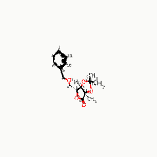 CC1(C)O[C@@H]2[C@@H](COCc3ccccc3)OC(=O)[C@]2(C)O1